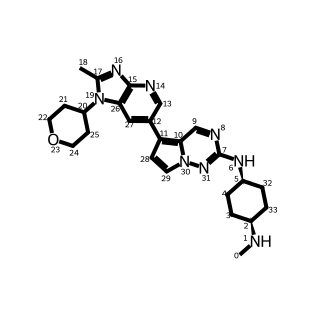 CN[C@H]1CC[C@@H](Nc2ncc3c(-c4cnc5nc(C)n(C6CCOCC6)c5c4)ccn3n2)CC1